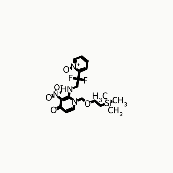 C[Si](C)(C)CCOCn1ccc(=O)c([N+](=O)[O-])c1NCC(F)(F)c1cccc[n+]1[O-]